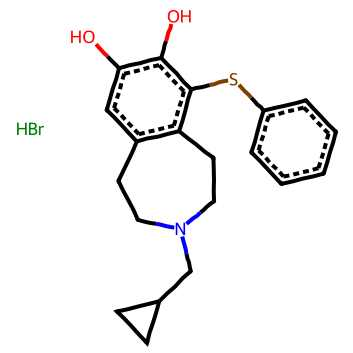 Br.Oc1cc2c(c(Sc3ccccc3)c1O)CCN(CC1CC1)CC2